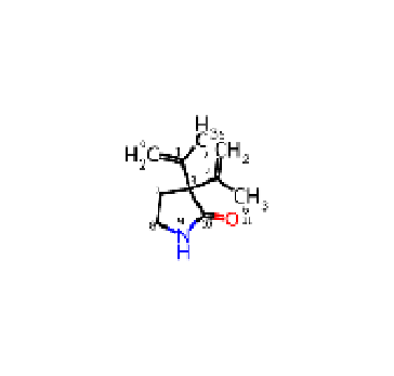 C=C(C)C1(C(=C)C)CCNC1=O